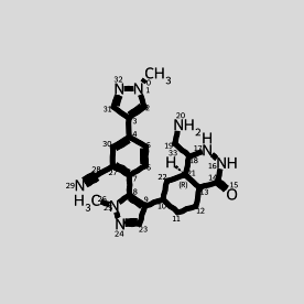 Cn1cc(-c2ccc(-c3c(C4CCC5C(=O)NNC(CN)[C@@H]5C4)cnn3C)c(C#N)c2)cn1